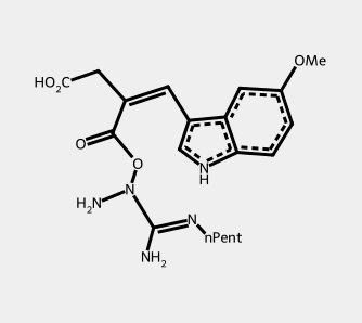 CCCCCN=C(N)N(N)OC(=O)C(=Cc1c[nH]c2ccc(OC)cc12)CC(=O)O